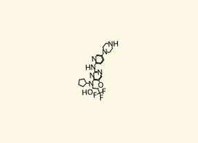 OC1C(C(F)(F)F)Oc2cnc(Nc3ccc(N4CCNCC4)cn3)nc2N1C1CCCC1